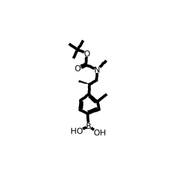 Cc1cc(B(O)O)ccc1[C@@H](C)CN(C)C(=O)OC(C)(C)C